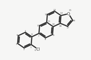 Clc1ccccc1-c1ccc2c(ccc3occc32)c1